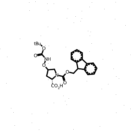 CC(C)(C)OC(=O)NOC1C[C@@H](C(=O)O)N(C(=O)OCC2c3ccccc3-c3ccccc32)C1